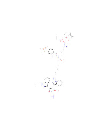 Cn1cc(C2=C(c3cn(CCCCCCOC(=O)C(CCCCNC(=O)OC(C)(C)C)NC(=O)c4ccc(S(=O)(=O)F)cc4)c4ccccc34)C(=O)NC2=O)c2ccccc21